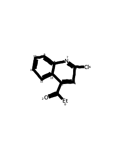 CCC(=O)c1cc(Cl)nc2ccccc12